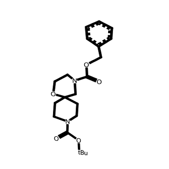 CC(C)(C)OC(=O)N1CCC2(CC1)CN(C(=O)OCc1ccccc1)CCO2